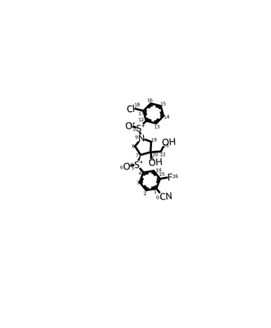 N#Cc1ccc([S+]([O-])[C@H]2CN([S+]([O-])c3ccccc3Cl)CC2(O)CO)cc1F